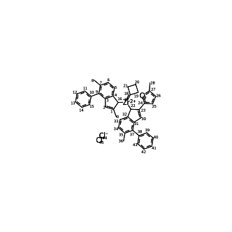 CC1=Cc2c(ccc(C)c2-c2ccccc2)[CH]1[Zr+2](=[C]1CCC1)[CH]1C(c2ccc(C)o2)=Cc2c1ccc(C)c2-c1ccccc1.[Cl-].[Cl-]